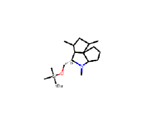 CC1CC(C)C23CCCC2N(C)[C@H](CO[Si](C)(C)C(C)(C)C)C13